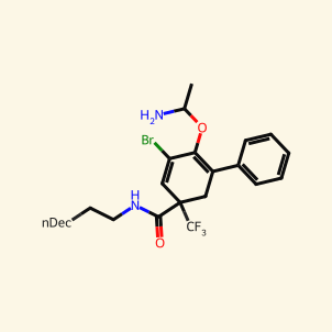 CCCCCCCCCCCCNC(=O)C1(C(F)(F)F)C=C(Br)C(OC(C)N)=C(c2ccccc2)C1